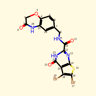 O=C1COc2ccc(CNC(=O)c3nc4sc(Br)c(Br)c4c(=O)[nH]3)cc2N1